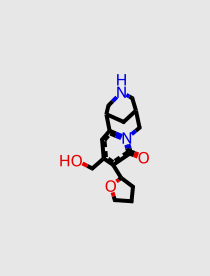 O=c1c(C2CCCO2)c(CO)cc2n1CC1CNCC2C1